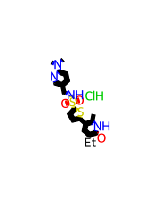 CCc1cc(-c2ccc(S(=O)(=O)NCc3ccc(N(C)C)nc3)s2)c(C)[nH]c1=O.Cl